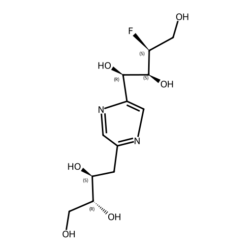 OC[C@@H](O)[C@@H](O)Cc1cnc([C@@H](O)[C@H](O)[C@@H](F)CO)cn1